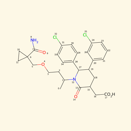 CC(CCOCC1(C(N)=O)CC1)N1C(=O)C(CC(=O)O)CC(c2cccc(Cl)c2)C1c1ccc(Cl)cc1